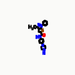 Cc1nn(-c2ccccc2)c2sc(C(=O)Nc3ccc(N4CCNCC4)cc3)cc12